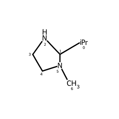 CC(C)C1NCCN1C